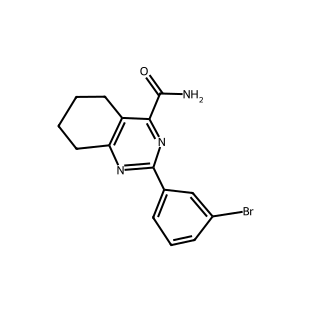 NC(=O)c1nc(-c2cccc(Br)c2)nc2c1CCCC2